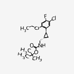 CCOc1cc(F)c(Cl)cc1[C@H]1C[C@@H]1CNC(=O)OC(C)(C)C